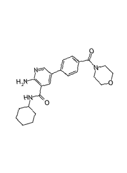 Nc1ncc(-c2ccc(C(=O)N3CCOCC3)cc2)cc1C(=O)NC1CCCCC1